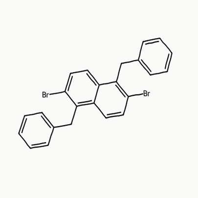 Brc1ccc2c(Cc3ccccc3)c(Br)ccc2c1Cc1ccccc1